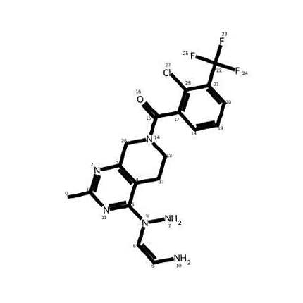 Cc1nc2c(c(N(N)/C=C\N)n1)CCN(C(=O)c1cccc(C(F)(F)F)c1Cl)C2